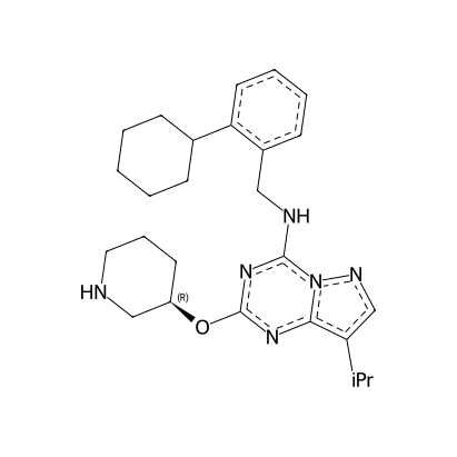 CC(C)c1cnn2c(NCc3ccccc3C3CCCCC3)nc(O[C@@H]3CCCNC3)nc12